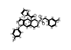 O=C(c1nccs1)[C@]12Cc3cnn(-c4ccc(F)cc4)c3C=C1CCN(S(=O)(=O)Cc1cccc(F)c1)C2